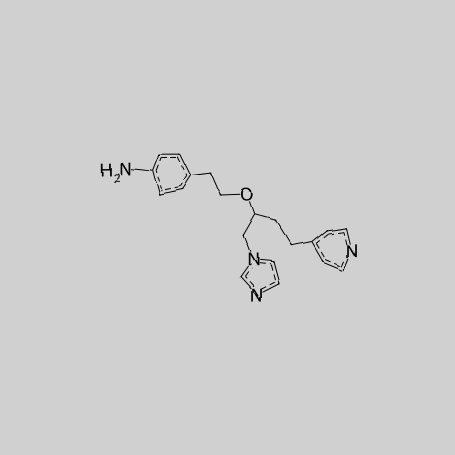 Nc1ccc(CCOC(CCc2ccncc2)Cn2ccnc2)cc1